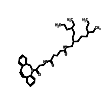 CCCC(CC)CCCC(CCC(CC)CCC)CNC(=O)CCCC(=O)NCCC(=O)N1Cc2ccccc2C#Cc2ccccc21